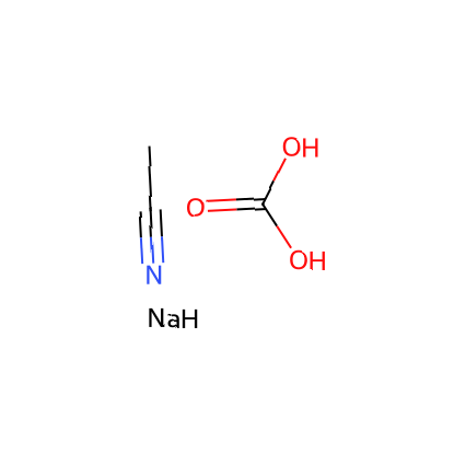 CC#N.O=C(O)O.[NaH]